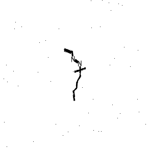 C=CN=NC(C)(C)CCCCC